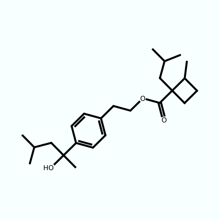 CC(C)CC(C)(O)c1ccc(CCOC(=O)C2(CC(C)C)CCC2C)cc1